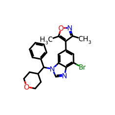 Cc1noc(C)c1-c1cc(Br)c2ncn(C(c3ccccc3)C3CCOCC3)c2c1